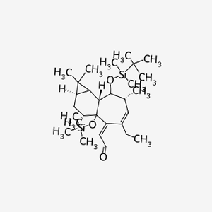 CCC1=C[C@@H](C)C(O[Si](C)(C)C(C)(C)C)[C@H]2C3[C@@H](C[C@@H](C)C2(O[Si](C)(C)C)/C1=C/C=O)C3(C)C